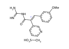 COc1cccc(/C=C(/C(=O)NC(=N)N)c2cccnc2)c1.CS(=O)(=O)O